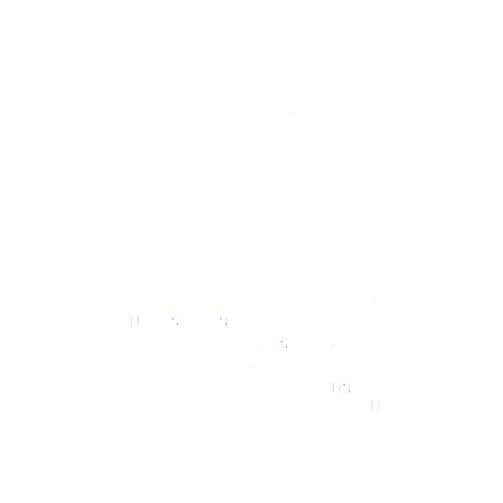 CC#CCOc1ccc(S(=O)(=O)CC2(C(=O)NO)CCN(C(=O)CN3CCN(C)CC3)CC2)cc1